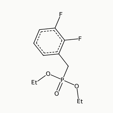 CCOP(=O)(Cc1cccc(F)c1F)OCC